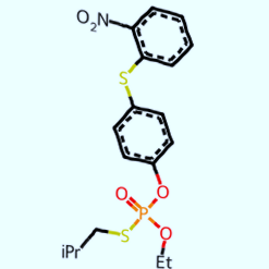 CCOP(=O)(Oc1ccc(Sc2ccccc2[N+](=O)[O-])cc1)SCC(C)C